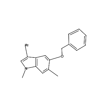 Cc1cc2c(cc1OCc1ccccc1)c(C(C)C)cn2C